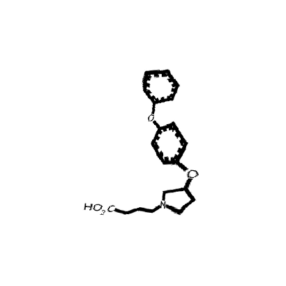 O=C(O)CCCN1CCC(Oc2ccc(Oc3ccccc3)cc2)C1